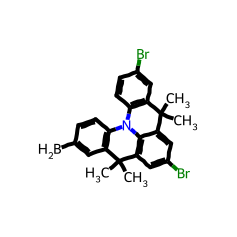 Bc1ccc2c(c1)C(C)(C)c1cc(Br)cc3c1N2c1ccc(Br)cc1C3(C)C